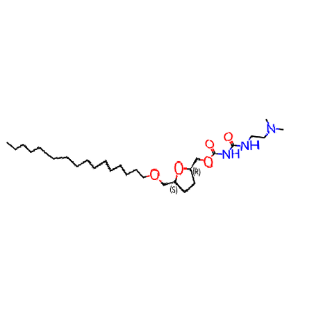 CCCCCCCCCCCCCCCCOC[C@@H]1CC[C@H](COC(=O)NC(=O)NCCN(C)C)O1